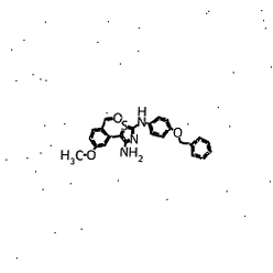 COc1ccc(C=O)c(-c2sc(Nc3ccc(OCc4ccccc4)cc3)nc2N)c1